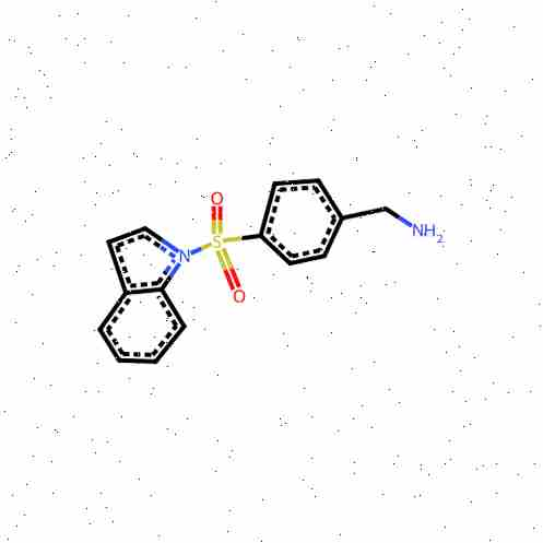 NCc1ccc(S(=O)(=O)n2ccc3ccccc32)cc1